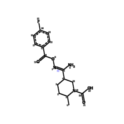 CC1CCC(/C(N)=N/OC(=O)c2ccc(F)cc2)CN1C(=O)O